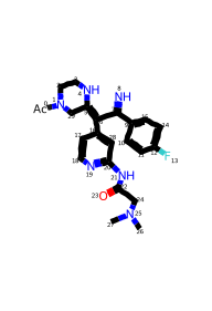 CC(=O)N1CCN/C(=C(\C(=N)c2ccc(F)cc2)c2ccnc(NC(=O)CN(C)C)c2)C1